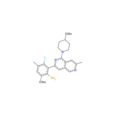 COc1cc(C)c(F)c(-c2cc3cnc(C)cc3c(N3CCC(OC)CC3)n2)c1P